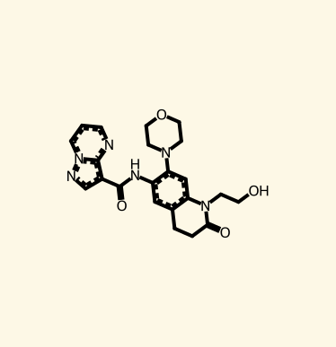 O=C(Nc1cc2c(cc1N1CCOCC1)N(CCO)C(=O)CC2)c1cnn2cccnc12